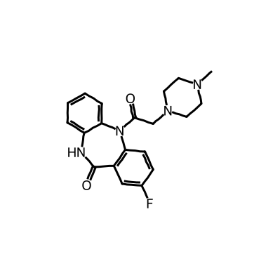 CN1CCN(CC(=O)N2c3ccccc3NC(=O)c3cc(F)ccc32)CC1